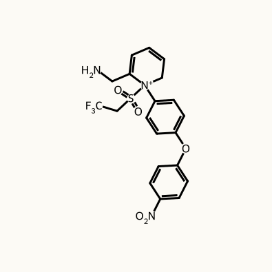 NCC1=CC=CC[N+]1(c1ccc(Oc2ccc([N+](=O)[O-])cc2)cc1)S(=O)(=O)CC(F)(F)F